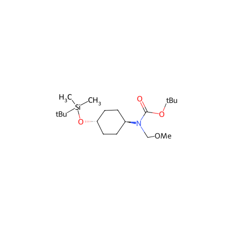 COCN(C(=O)OC(C)(C)C)[C@H]1CC[C@H](O[Si](C)(C)C(C)(C)C)CC1